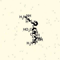 N=C(N)NCCSCc1ncccc1SC1=C(C(=O)O)N2C(=O)[C@@H](NC(=O)C(NO)c3nsc(N)n3)[C@@H]2SC1